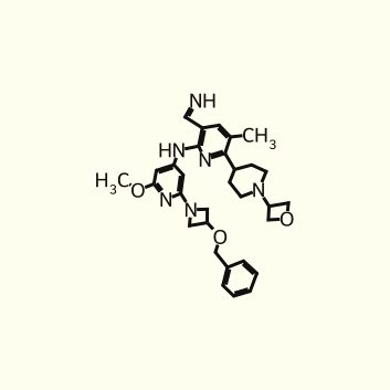 COc1cc(Nc2nc(C3CCN(C4COC4)CC3)c(C)cc2C=N)cc(N2CC(OCc3ccccc3)C2)n1